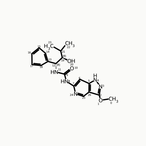 COc1n[nH]c2cc(NC(=O)N[C@H](c3ccccc3)[C@H](O)C(C)C)ncc12